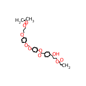 C=CC(=O)OCCC(O)c1ccc(C(=O)Oc2ccc(OCOc3ccc(OCCCOOC(=C)C)cc3)cc2)cc1